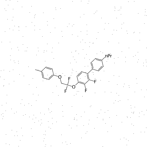 CCCc1ccc(-c2ccc(OC(F)(F)COc3ccc(C)cc3)c(F)c2F)cc1